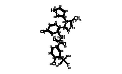 Cc1nnc(-c2ncc(Cl)cc2NS(=O)(=O)c2ccc(Cl)c(C(F)(F)F)c2)n1-c1cc[nH]n1